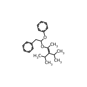 CC(OC(Cc1ccccc1)Oc1ccccc1)=C(C(C)C)C(C)C